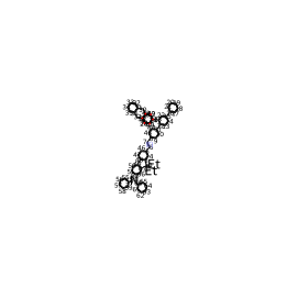 CCC1(CC)c2cc(/C=C/c3ccc(-c4ccc(-c5ccccc5)cc4-c4ccc5c(c4)C4c6ccccc6C5c5ccccc54)cc3)ccc2-c2ccc(N(c3ccccc3)c3ccccc3)cc21